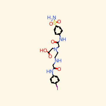 NS(=O)(=O)c1ccc(NC(=O)CN(CCNCC(=O)Nc2ccc(I)cc2)CC(=O)O)cc1